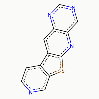 c1cc2c(cn1)sc1nc3cncnc3cc12